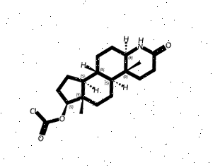 C[C@]12CCC(=O)N[C@@H]1CC[C@@H]1[C@@H]2CC[C@]2(C)[C@@H](OC(=O)Cl)CC[C@@H]12